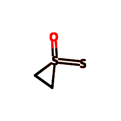 O=S1(=S)CC1